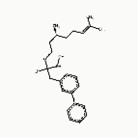 CC(C)=CCC[C@H](C)CCOC(P)(Cc1cccc(-c2ccccc2)c1)PO